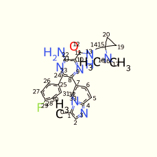 Cc1cnc2ccc(-c3nc(C(=O)NCC4(N(C)C)CC4)c(N)nc3-c3ccc(F)cc3)cn12